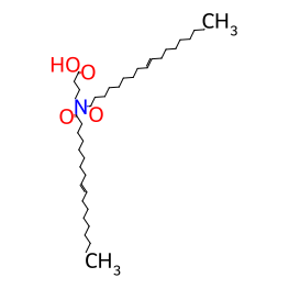 CCCCCCCCC=CCCCCCCCC(=O)N(CCCC(=O)O)C(=O)CCCCCCCC=CCCCCCCCC